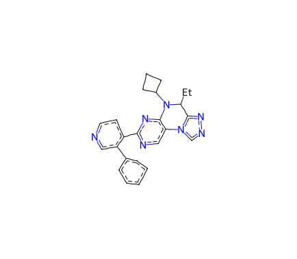 CCC1c2nncn2-c2cnc(-c3ccncc3-c3ccccc3)nc2N1C1CCC1